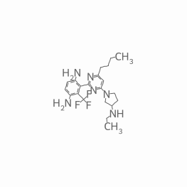 CCCCc1cc(N2CCC(NCC)C2)nc(-c2c(N)ccc(N)c2C(F)(F)F)n1